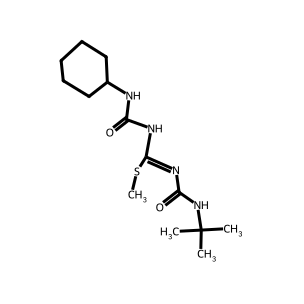 CSC(=NC(=O)NC(C)(C)C)NC(=O)NC1CCCCC1